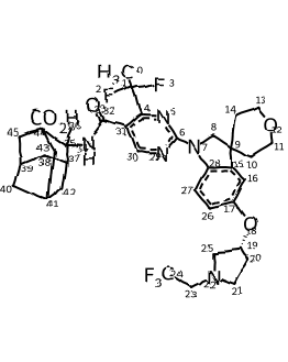 CC(F)(F)c1nc(N2CC3(CCOCC3)c3cc(O[C@@H]4CCN(CC(F)(F)F)C4)ccc32)ncc1C(=O)NC1(C(=O)O)C2CC3CC(C2)CC1C3